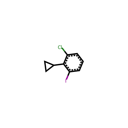 Clc1cccc(I)c1C1CC1